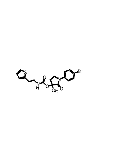 O=C(NCCc1cccs1)O[C@]1(O)CCN(c2ccc(Br)cc2)C1=O